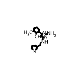 Cc1cccc(-c2cc(NCCc3cccnc3)nc(N)n2)c1C